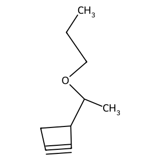 CCCOC(C)C1C#CC1